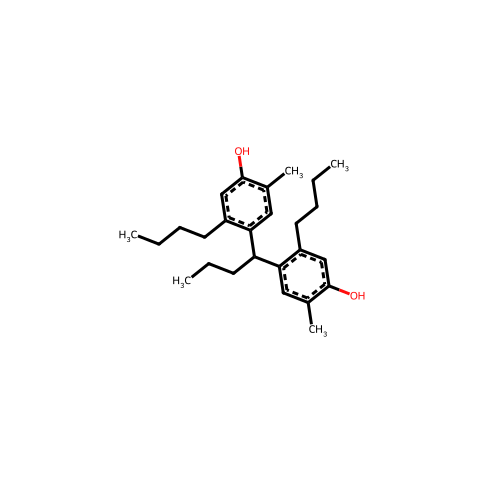 CCCCc1cc(O)c(C)cc1C(CCC)c1cc(C)c(O)cc1CCCC